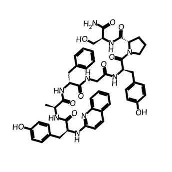 C[C@H](NC(=O)[C@H](Cc1ccc(O)cc1)Nc1ccc2ccccc2n1)C(=O)N[C@H](Cc1ccccc1)C(=O)NCC(=O)N[C@H](Cc1ccc(O)cc1)C(=O)N1CCC[C@H]1C(=O)N[C@@H](CO)C(N)=O